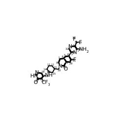 Nc1nc(-c2cc3ccn(CC4CCC[C@H](Nc5cn[nH]c(=O)c5C(F)(F)F)C4)c(=O)c3cc2F)cnc1C(F)F